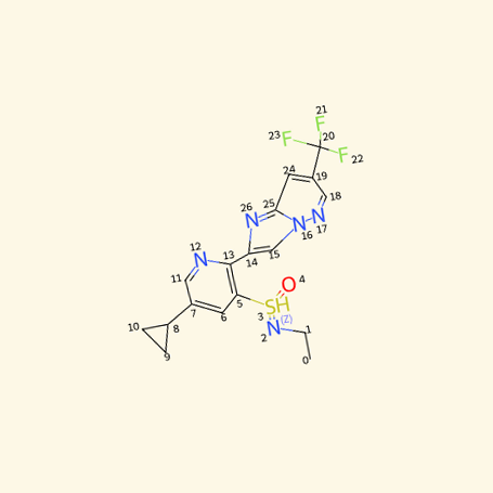 CC/N=[SH](=O)/c1cc(C2CC2)cnc1-c1cn2ncc(C(F)(F)F)cc2n1